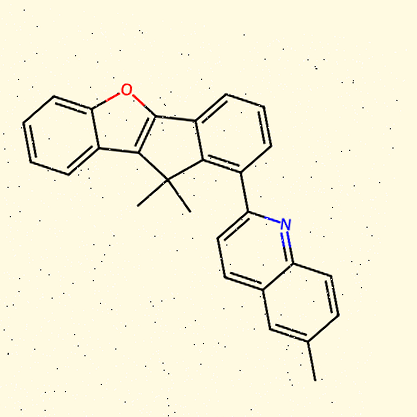 Cc1ccc2nc(-c3cccc4c3C(C)(C)c3c-4oc4ccccc34)ccc2c1